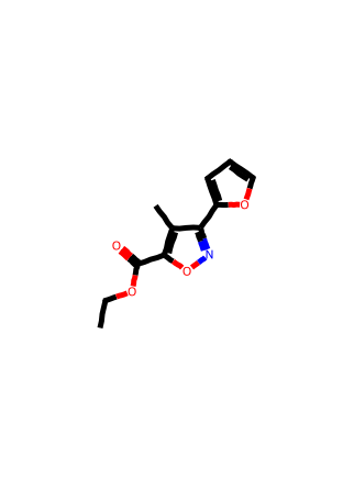 CCOC(=O)c1onc(-c2ccco2)c1C